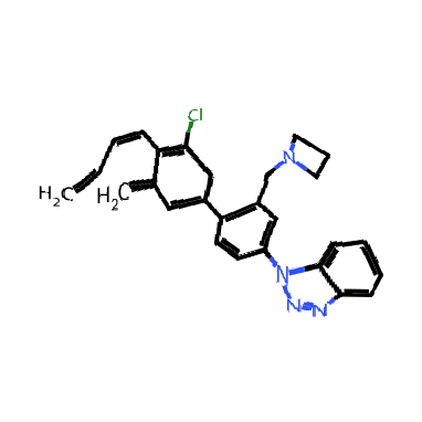 C=C/C=C\C1=C(Cl)CC(c2ccc(-n3nnc4ccccc43)cc2CN2CCC2)=CC1=C